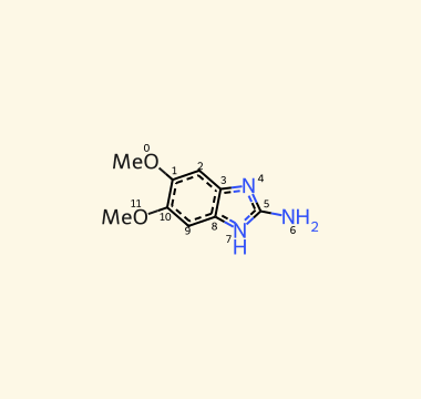 COc1cc2nc(N)[nH]c2cc1OC